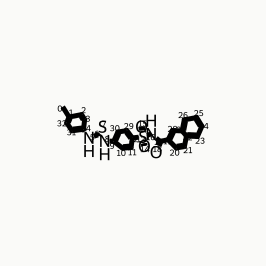 Cc1ccc(NC(=S)Nc2ccc(S(=O)(=O)NC(=O)c3ccc4ccccc4c3)cc2)cc1